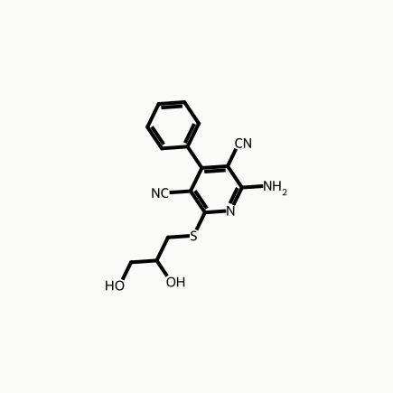 N#Cc1c(N)nc(SCC(O)CO)c(C#N)c1-c1ccccc1